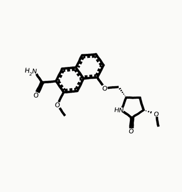 COc1cc2c(OC[C@@H]3C[C@H](OC)C(=O)N3)cccc2cc1C(N)=O